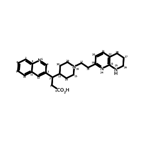 O=C(O)CC(c1cnc2ccccc2c1)C1CCN(CCc2ccc3c(n2)NCCC3)CC1